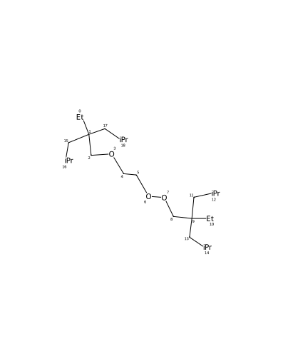 CCC(COCCOOCC(CC)(CC(C)C)CC(C)C)(CC(C)C)CC(C)C